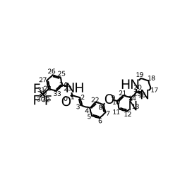 O=C(/C=C/c1cccc(Oc2ccnc(C3=NCCCN3)c2)c1)Nc1cccc(C(F)(F)F)c1